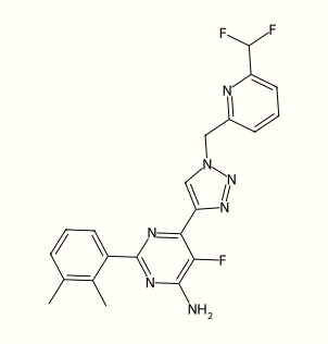 Cc1cccc(-c2nc(N)c(F)c(-c3cn(Cc4cccc(C(F)F)n4)nn3)n2)c1C